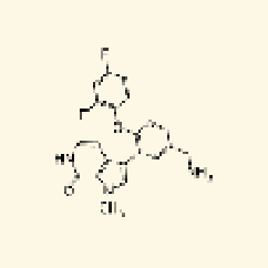 Cn1cc(-c2cc(CN)ccc2Oc2ccc(F)cc2F)c2cc[nH]c(=O)c21